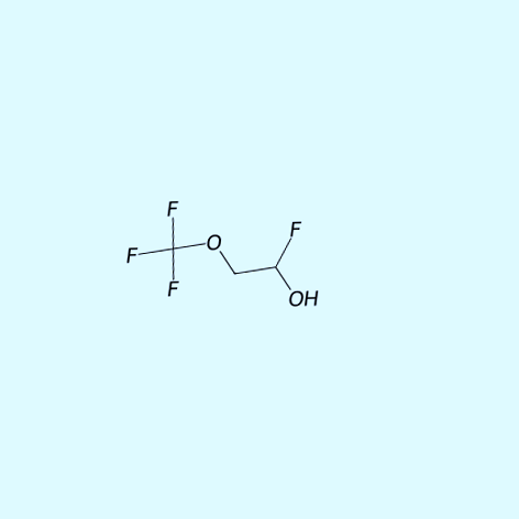 OC(F)COC(F)(F)F